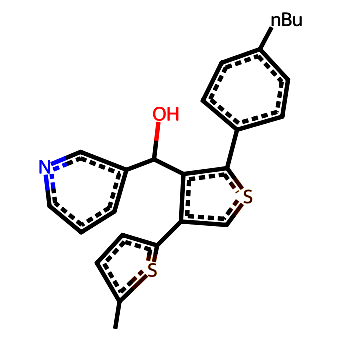 CCCCc1ccc(-c2scc(-c3ccc(C)s3)c2C(O)c2cccnc2)cc1